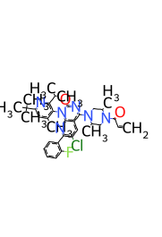 C=CC(=O)N1CC(C)N(c2nc(=O)n(-c3c(C)cc(C(C)(C)C)nc3C(C)C)c3nc(-c4ccccc4F)c(Cl)cc23)CC1C